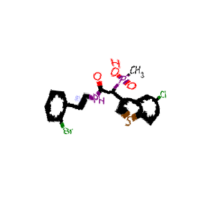 CP(=O)(O)C(C(=O)P/C=C/c1ccccc1Br)c1csc2ccc(Cl)cc12